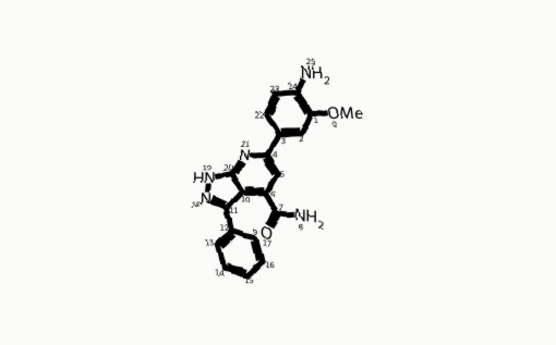 COc1cc(-c2cc(C(N)=O)c3c(-c4ccccc4)n[nH]c3n2)ccc1N